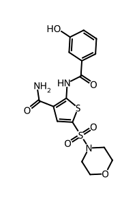 NC(=O)c1cc(S(=O)(=O)N2CCOCC2)sc1NC(=O)c1cccc(O)c1